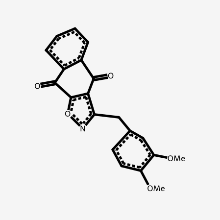 COc1ccc(Cc2noc3c2C(=O)c2ccccc2C3=O)cc1OC